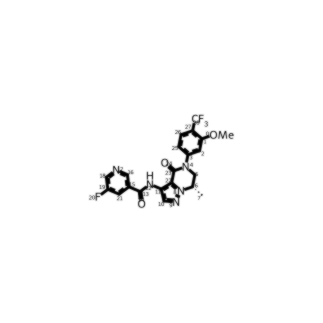 COc1cc(N2C[C@H](C)n3ncc(NC(=O)c4cncc(F)c4)c3C2=O)ccc1C(F)(F)F